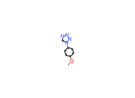 COc1ccc(-n2cnnn2)cc1